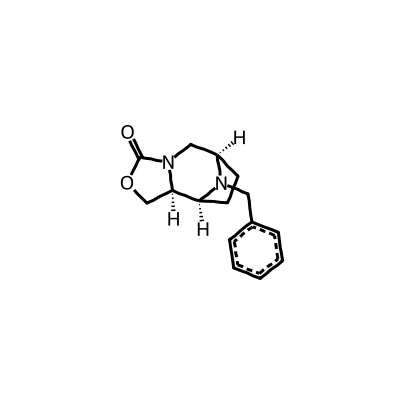 O=C1OC[C@@H]2[C@@H]3CC[C@H](CN12)N3Cc1ccccc1